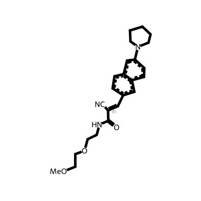 COCCOCCNC(=O)/C(C#N)=C/c1ccc2cc(N3CCCCC3)ccc2c1